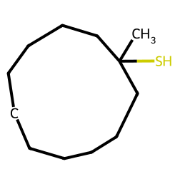 CC1(S)CCCCCCCCCC1